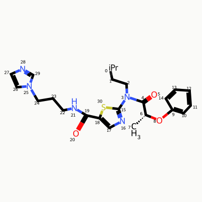 CC(C)CCN(C(=O)[C@@H](C)Oc1ccccc1)c1ncc(C(=O)NCCCn2ccnc2)s1